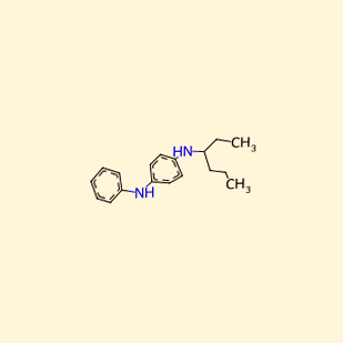 CCCC(CC)Nc1ccc(Nc2ccccc2)cc1